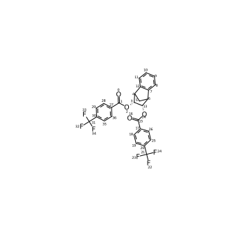 O=C(O[C@@H]1C2CC(c3ccccc32)[C@@H]1OC(=O)c1ccc(C(F)(F)F)cc1)c1ccc(C(F)(F)F)cc1